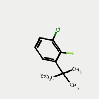 CCOC(=O)C(C)(C)c1cccc(Cl)c1F